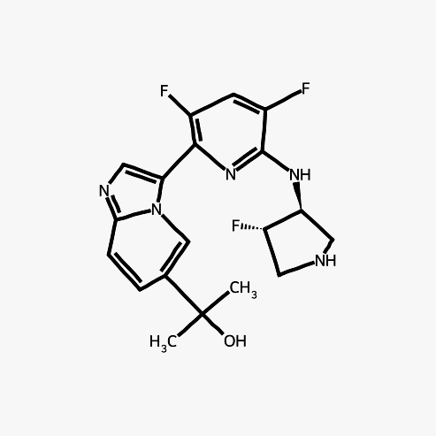 CC(C)(O)c1ccc2ncc(-c3nc(N[C@H]4CNC[C@@H]4F)c(F)cc3F)n2c1